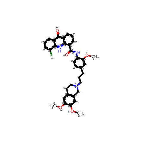 COc1cc(CCCN2CCc3cc(OC)c(OC)cc3C2)ccc1NC(=O)c1cccc2c(=O)c3cccc(F)c3[nH]c12